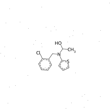 CC(O)N(Cc1ccccc1Cl)c1cccs1